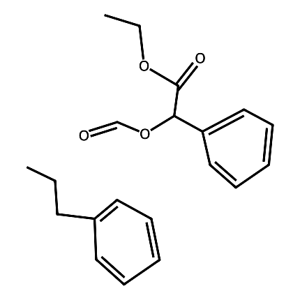 CCCc1ccccc1.CCOC(=O)C(OC=O)c1ccccc1